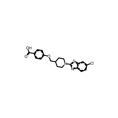 O=C(O)c1ccc(OCC2CCN(c3nc4ccc(Cl)cc4s3)CC2)cc1